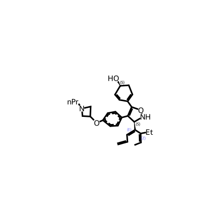 C=C/C=C(\C(=C/C)CC)[C@@H]1NOC(C2=CC[C@H](O)C=C2)=C1c1ccc(OC2CN(CCC)C2)cc1